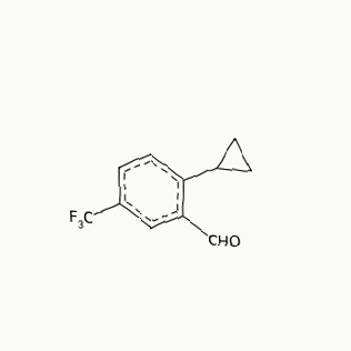 O=Cc1cc(C(F)(F)F)ccc1C1CC1